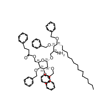 CCCCCCCCCCCCCC[C@@H](OCc1ccccc1)[C@@H](OCc1ccccc1)[C@@H](N)CO[C@H]1O[C@H](COC(=O)CCc2ccccc2)[C@H](OCc2ccccc2)[C@H](OCc2ccccc2)[C@H]1OCc1ccccc1